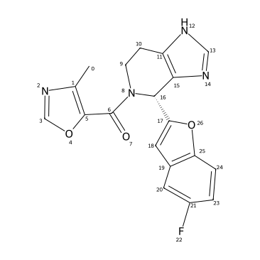 Cc1ncoc1C(=O)N1CCc2[nH]cnc2[C@@H]1c1cc2cc(F)ccc2o1